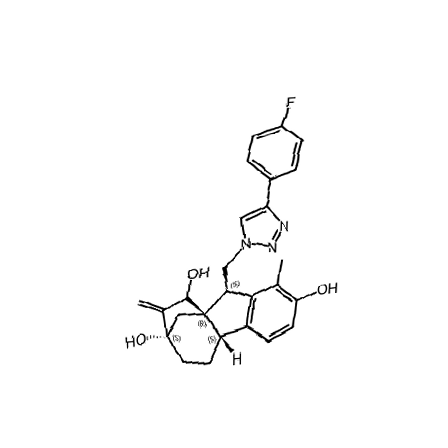 C=C1C(O)[C@]23C[C@@]1(O)CC[C@H]2c1ccc(O)c(C)c1[C@@H]3Cn1cc(-c2ccc(F)cc2)nn1